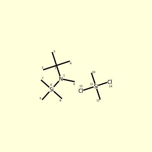 CN(C(C)(C)C)[Si](C)(C)C.C[Si](C)(Cl)Cl